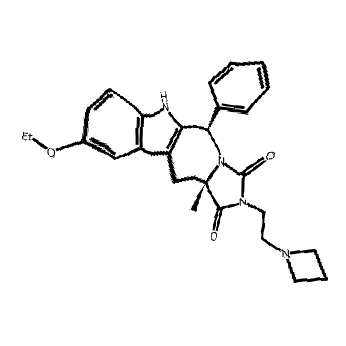 CCOc1ccc2[nH]c3c(c2c1)C[C@@]1(C)C(=O)N(CCN2CCC2)C(=O)N1[C@@H]3c1ccccc1